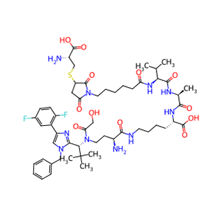 CC(C)[C@H](NC(=O)CCCCCN1C(=O)CC(SC[C@H](N)C(=O)O)C1=O)C(=O)N[C@@H](C)C(=O)N[C@@H](CCCCNC(=O)[C@@H](N)CCN(C(=O)CO)[C@@H](c1nc(-c2cc(F)ccc2F)cn1Cc1ccccc1)C(C)(C)C)C(=O)O